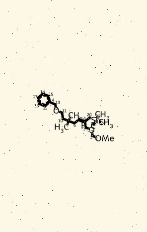 COCOC/C(=C\CC(C)(C)CCOCc1ccccc1)[CH2][Sn]([CH3])([CH3])[CH3]